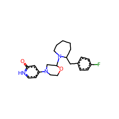 O=c1cc(N2CCOC(N3CCCCCC3Cc3ccc(F)cc3)C2)cc[nH]1